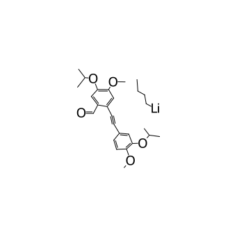 COc1ccc(C#Cc2cc(OC)c(OC(C)C)cc2C=O)cc1OC(C)C.[Li][CH2]CCC